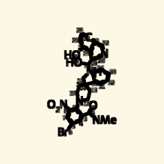 CNC(=O)c1cc(Br)cc([N+](=O)[O-])c1N1CCC(CNC(O)c2cncc3cccc(O)c23)(c2ccccc2)CC1